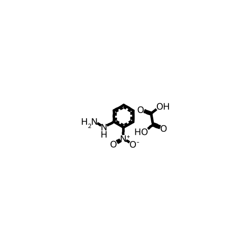 NNc1ccccc1[N+](=O)[O-].O=C(O)C(=O)O